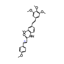 COc1ccc(/C=C/C(=O)Nc2ccc(C=Cc3cc(OC)c(OC)c(OC)c3)cc2OC)cc1